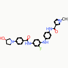 Cn1ccc(C(=O)Nc2ccc(Nc3ccc(NC(=O)c4ccc(N5CC[C@@H](O)C5)cc4)cc3F)cc2)c1